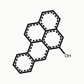 Oc1cc2cccc3ccc4c5ccccc5cc1c4c32